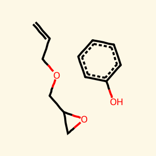 C=CCOCC1CO1.Oc1ccccc1